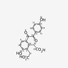 O=C(O)Cc1c(O)ccc(C(=O)C(=O)c2ccc(O)cc2)c1CC(=O)O